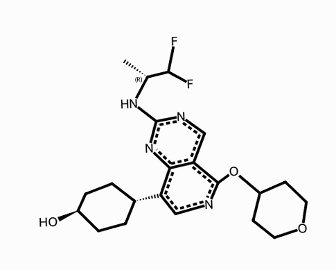 C[C@@H](Nc1ncc2c(OC3CCOCC3)ncc([C@H]3CC[C@H](O)CC3)c2n1)C(F)F